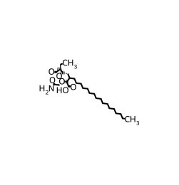 CCCCCCCCCCCCCCCCCC(C[C@@H]1OC(=O)[C@H]1CC)[C@H](OCC(N)=O)C(=O)O